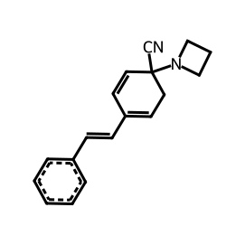 N#CC1(N2CCC2)C=CC(C=Cc2ccccc2)=CC1